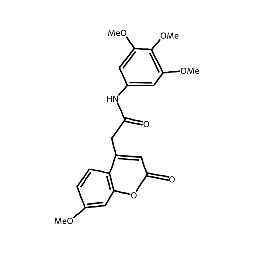 COc1ccc2c(CC(=O)Nc3cc(OC)c(OC)c(OC)c3)cc(=O)oc2c1